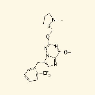 CN1CCC[C@H]1COc1nc(O)c2ncc(Cc3ccccc3C(F)(F)F)n2n1